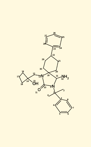 CC(C)(c1ccccc1)N1C(=O)N(CC2(O)CCC2)C2(CCC(c3ccccc3)CC2)C1N